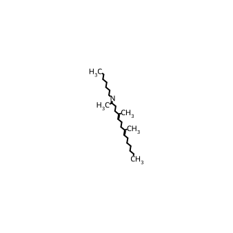 CCCCCC/C=C(\C)CC/C=C(\C)CC/C(C)=N/CCCCCCC